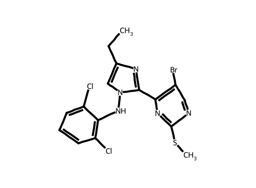 CCc1cn(Nc2c(Cl)cccc2Cl)c(-c2nc(SC)ncc2Br)n1